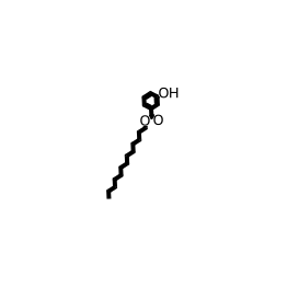 CCCCCCCCCCCCCOC(=O)c1cccc(O)c1